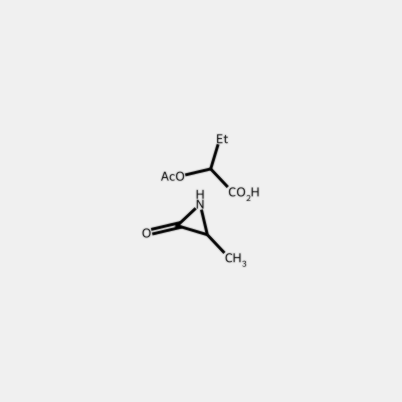 CC1NC1=O.CCC(OC(C)=O)C(=O)O